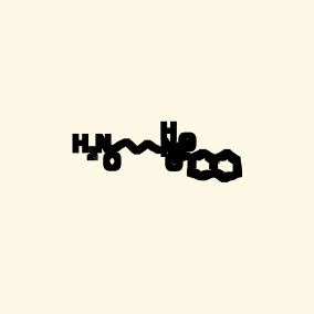 NC(=O)CCCCNS(=O)(=O)c1ccc2ccccc2c1